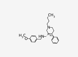 CCCCN1CC[C@@H](c2ccccc2)[C@H](CNCc2ccc(OC)cc2)C1